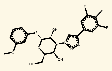 COc1cccc(S[C@H]2O[C@H](CO)[C@H](O)[C@H](n3cc(-c4cc(F)c(F)c(F)c4)nn3)[C@H]2O)c1